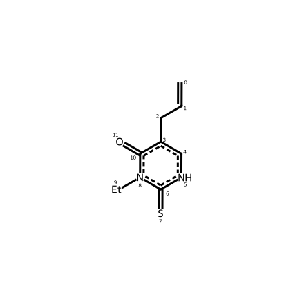 C=CCc1c[nH]c(=S)n(CC)c1=O